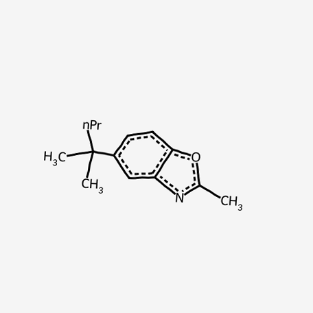 CCCC(C)(C)c1ccc2oc(C)nc2c1